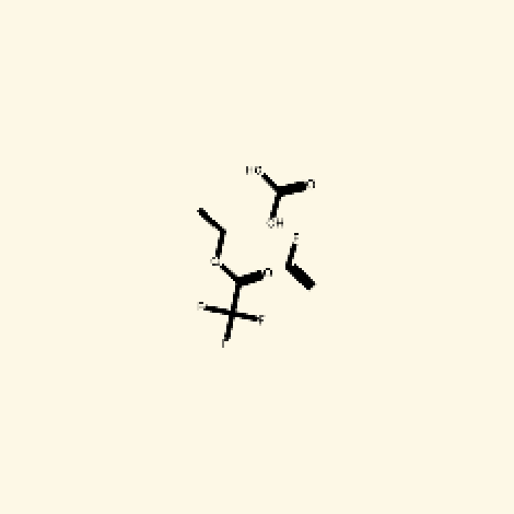 C=CF.CCOC(=O)C(F)(F)F.O=C(O)O